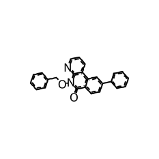 O=c1c2ccc(-c3ccccc3)cc2c2cccnc2n1OCc1ccccc1